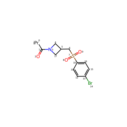 CC(C)C(=O)N1CC(CS(=O)(=O)c2ccc(Br)cc2)C1